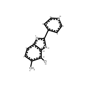 Cc1ccc2oc(-c3ccncc3)nc2c1Cl